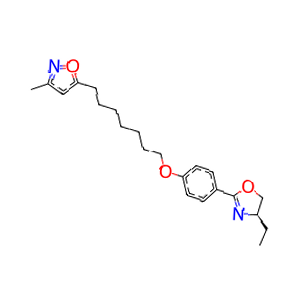 CC[C@@H]1COC(c2ccc(OCCCCCCCc3cc(C)no3)cc2)=N1